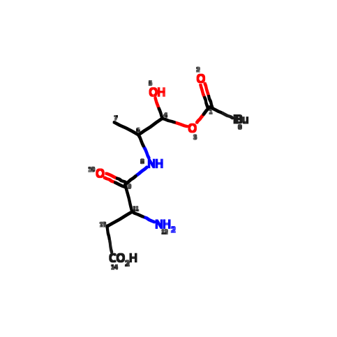 CCC(C)C(=O)OC(O)C(C)NC(=O)C(N)CC(=O)O